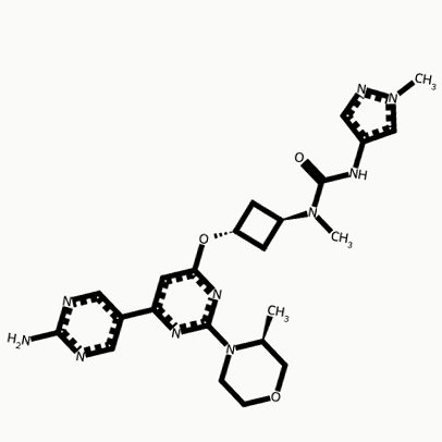 C[C@H]1COCCN1c1nc(O[C@H]2C[C@H](N(C)C(=O)Nc3cnn(C)c3)C2)cc(-c2cnc(N)nc2)n1